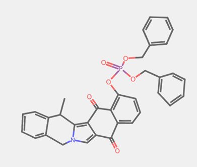 CC1c2ccccc2Cn2cc3c(c21)C(=O)c1c(OP(=O)(OCc2ccccc2)OCc2ccccc2)cccc1C3=O